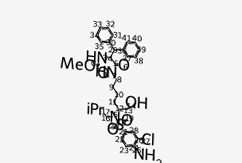 COC(=O)N[C@H](C(=O)NCCCC[C@@H](CO)N(CC(C)C)S(=O)(=O)c1ccc(N)c(Cl)c1)C(c1ccccc1)c1ccccc1